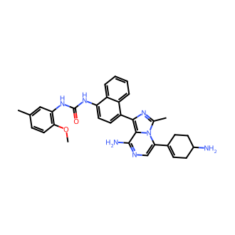 COc1ccc(C)cc1NC(=O)Nc1ccc(-c2nc(C)n3c(C4=CCC(N)CC4)cnc(N)c23)c2ccccc12